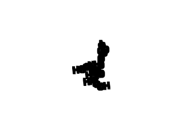 Cc1ccc(S(=O)(=O)OCCOCCOCCNC(=O)[C@H](Cc2c[nH]c3ccc(O)cc23)NC(=O)Cc2c[nH]c3ccc(O)cc23)cc1